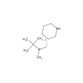 CN(C[C@@H]1CCCNC1)C(C)(C)C